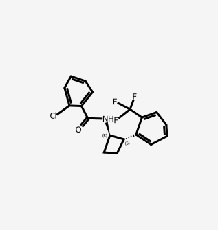 O=C(N[C@@H]1CC[C@H]1c1ccccc1C(F)(F)F)c1ccccc1Cl